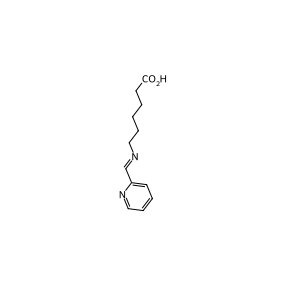 O=C(O)CCCCC/N=C/c1ccccn1